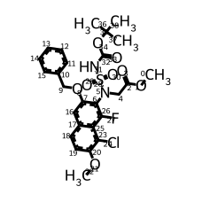 COC(=O)CN(c1c(OCc2ccccc2)cc2ccc(OC)c(Cl)c2c1F)S(=O)(=O)NC(=O)OC(C)(C)C